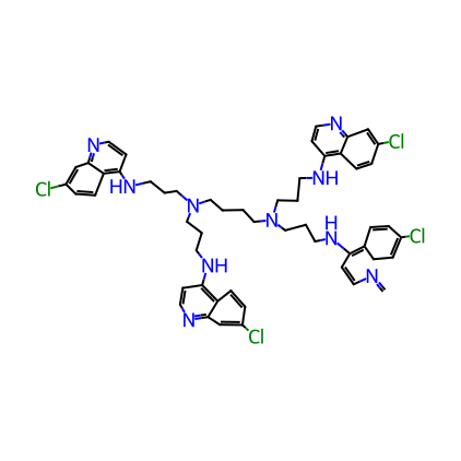 C=N/C=C\C(NCCCN(CCCCN(CCCNc1ccnc2cc(Cl)ccc12)CCCNc1ccnc2cc(Cl)ccc12)CCCNc1ccnc2cc(Cl)ccc12)=C1\C=CC(Cl)=CC1